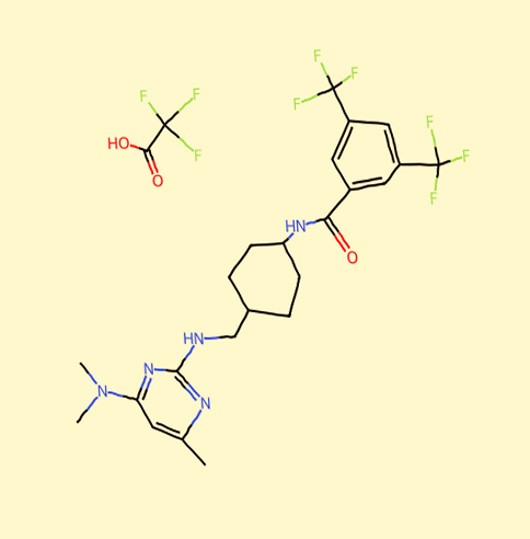 Cc1cc(N(C)C)nc(NCC2CCC(NC(=O)c3cc(C(F)(F)F)cc(C(F)(F)F)c3)CC2)n1.O=C(O)C(F)(F)F